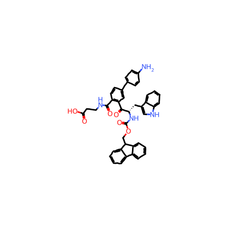 Nc1ccc(-c2ccc(C(=O)NCCC(=O)O)c(C(=O)[C@H](Cc3c[nH]c4ccccc34)NC(=O)OCC3c4ccccc4-c4ccccc43)c2)cc1